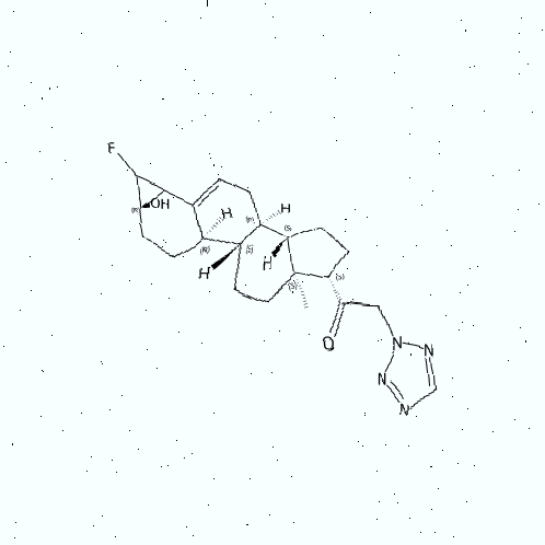 C[C@]12CC[C@H]3[C@@H](CC=C4C5C(F)[C@@]5(O)CC[C@@H]43)[C@@H]1CC[C@@H]2C(=O)Cn1ncnn1